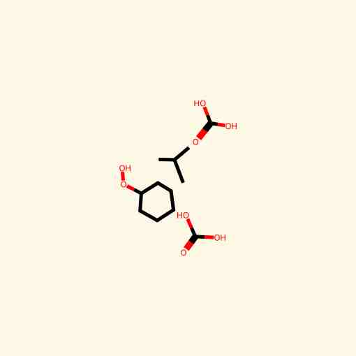 CC(C)C.O=C(O)O.O=C(O)O.OOC1CCCCC1